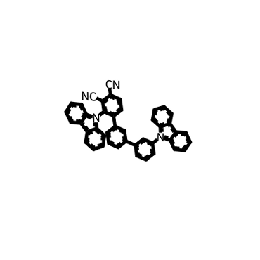 N#Cc1ccc(-c2cccc(-c3cccc(-n4c5ccccc5c5ccccc54)c3)c2)c(-n2c3ccccc3c3ccccc32)c1C#N